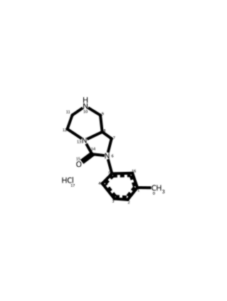 Cc1cccc(N2CC3CNCCN3C2=O)c1.Cl